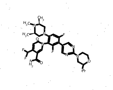 CC(C)C1CN(c2ncc(-c3c(F)cc(N4C[C@@H](C)N(C)[C@@H](C)C4)c(-n4cc(C(N)=O)c(C(F)F)cc4=O)c3F)cn2)CCO1